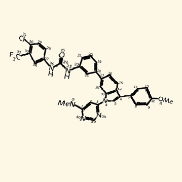 CNc1cc(-n2cc(-c3ccc(OC)cc3)c3ccc(-c4cccc(NC(=O)Nc5ccc(Cl)c(C(F)(F)F)c5)c4)cc32)ncn1